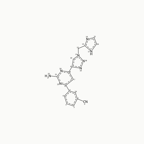 N#Cc1cccc(-c2cc(-c3cn(Cc4ncc[nH]4)nn3)nc(N)n2)c1